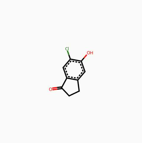 O=C1CCc2cc(O)c(Cl)cc21